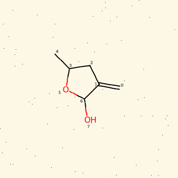 C=C1CC(C)OC1O